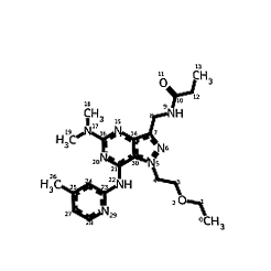 CCOCCn1nc(CNC(=O)CC)c2nc(N(C)C)nc(Nc3cc(C)ccn3)c21